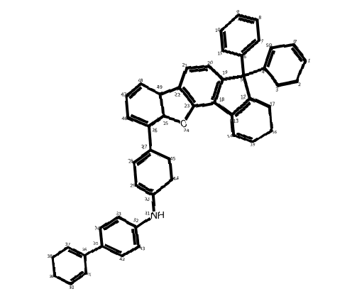 C1=CCCC(C2(c3ccccc3)C3=C(C=CCC3)c3c2ccc2c3OC3C(C4=CC=C(Nc5ccc(C6=CCCC=C6)cc5)CC4)=CC=CC23)=C1